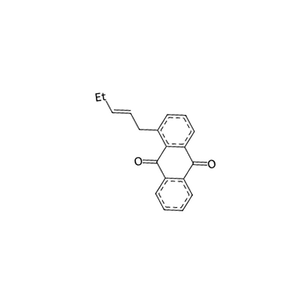 CCC=CCc1cccc2c1C(=O)c1ccccc1C2=O